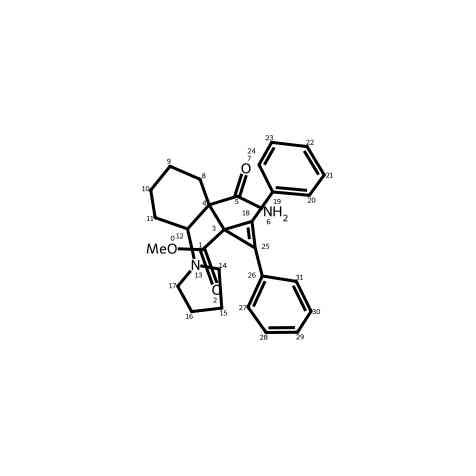 COC(=O)C1(C2(C(N)=O)CCCCC2N2CCCC2)C(c2ccccc2)=C1c1ccccc1